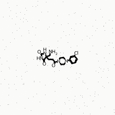 NCC1(CCC(=O)N2CCN(c3cccc(Cl)c3)CC2)NC(=O)NC1=O